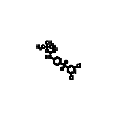 CC(C)(C)OC(=O)Nc1ccc(S(=O)(=O)c2cc(Cl)nc(Cl)c2)cc1